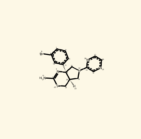 NC1=N[C@@]2(c3cccc(Br)c3)CN(c3cnccn3)C[C@H]2CS1